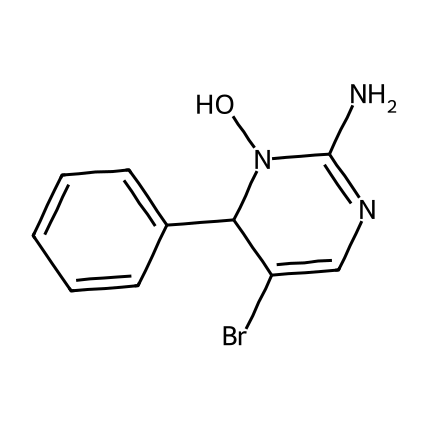 NC1=NC=C(Br)C(c2ccccc2)N1O